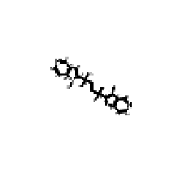 Cc1c(C(C)(C)CCC(C)(C)c2cc3cnccc3n2C)sc2ccncc12